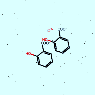 O=C([O-])c1ccccc1O.O=C([O-])c1ccccc1O.[O+2]